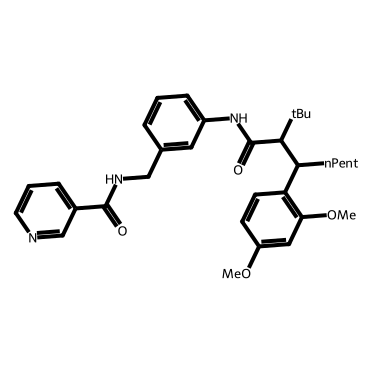 CCCCCC(c1ccc(OC)cc1OC)C(C(=O)Nc1cccc(CNC(=O)c2cccnc2)c1)C(C)(C)C